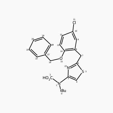 CC(C)(C)N(C(=O)O)c1csc(Cc2cc(Cl)ccc2OCc2ccccc2)n1